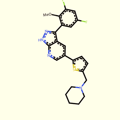 COc1c(F)cc(F)cc1-c1n[nH]c2ncc(-c3ccc(CN4CCCCC4)s3)cc12